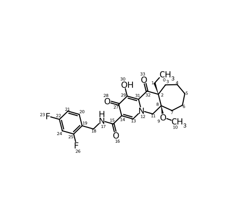 CC[C@@]12CCCCC[C@]1(OC)Cn1cc(C(=O)NCc3ccc(F)cc3F)c(=O)c(O)c1C2=O